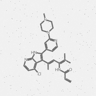 C=CC(=O)NC(/C=C(\C)c1c(-c2ccnc(N3CCN(C)CC3)c2)[nH]c2nccc(Cl)c12)=C(C)C